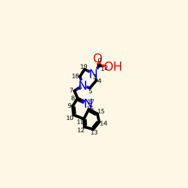 O=C(O)N1CCN(Cc2ccc3ccccc3n2)CC1